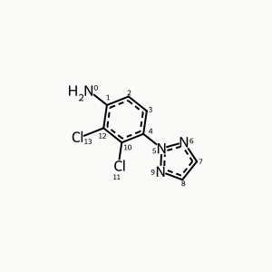 Nc1ccc(-n2nccn2)c(Cl)c1Cl